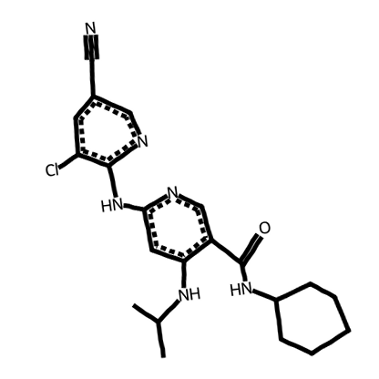 CC(C)Nc1cc(Nc2ncc(C#N)cc2Cl)ncc1C(=O)NC1CCCCC1